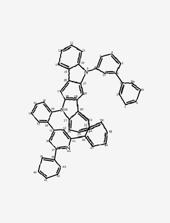 c1ccc(-c2cccc(-n3c4ccccc4c4cc5c(cc43)c3ccccc3n5-c3ccccc3-c3cc(-c4ccccc4)nc(-c4ccccc4)c3)c2)cc1